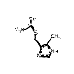 C[CH][C@H](N)SCc1nc[nH]c1C